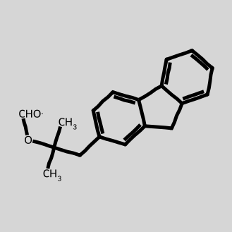 CC(C)(Cc1ccc2c(c1)Cc1ccccc1-2)O[C]=O